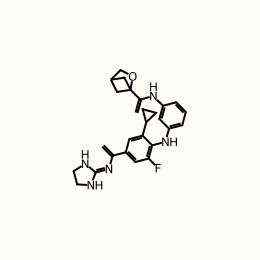 C=C(N=C1NCCN1)c1cc(F)c(Nc2cccc(NC(=C)C34CC(CO3)C4)c2)c(C2CC2)c1